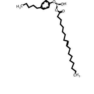 CCCCCCCCC=CCCCCCCCC(=O)OP(O)Oc1ccc(CCCCC)cc1